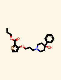 CCCOC(=O)c1sccc1OCCCN1CCC(O)(c2ccccc2)CC1